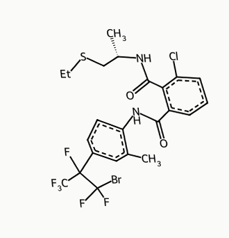 CCSC[C@H](C)NC(=O)c1c(Cl)cccc1C(=O)Nc1ccc(C(F)(C(F)(F)F)C(F)(F)Br)cc1C